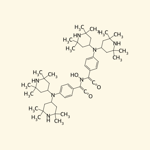 CC1(C)CC(N(c2ccc(C(=C=O)N(O)C(=C=O)c3ccc(N(C4CC(C)(C)NC(C)(C)C4)C4CC(C)(C)NC(C)(C)C4)cc3)cc2)C2CC(C)(C)NC(C)(C)C2)CC(C)(C)N1